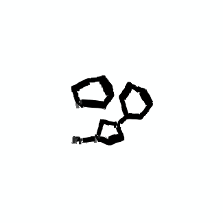 CC(C)N1C=CN(c2ccccc2)C1.c1ccncc1